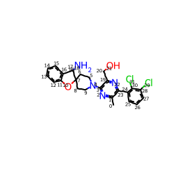 Cc1nc(N2CCC3(CC2)Oc2ccccc2[C@H]3N)c(CO)nc1-c1cccc(Cl)c1Cl